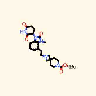 Cn1c(=O)n(C2CCC(=O)NC2=O)c2cccc(CCN3CC4(CCN(C(=O)OC(C)(C)C)CC4)C3)c21